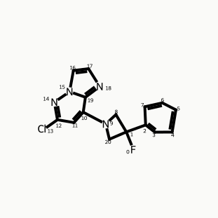 FC1(c2ccccc2)CN(c2cc(Cl)nn3ccnc23)C1